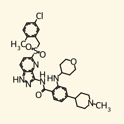 Cc1ccc(Cl)cc1CS(=O)(=O)c1ccc2[nH]nc(NC(=O)c3ccc(C4CCN(C)CC4)cc3NC3CCOCC3)c2n1